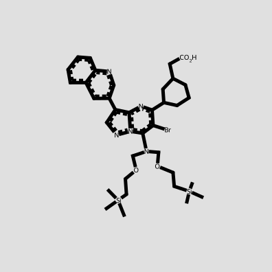 C[Si](C)(C)CCOCN(COCC[Si](C)(C)C)c1c(Br)c(C2CCCC(CC(=O)O)C2)nc2c(-c3cnc4ccccc4c3)cnn12